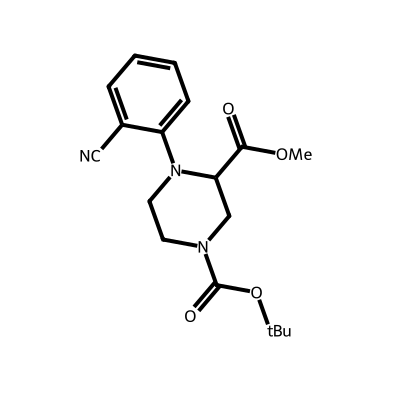 COC(=O)C1CN(C(=O)OC(C)(C)C)CCN1c1ccccc1C#N